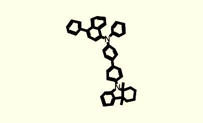 CC12CCCCC1(C)N(c1ccc(-c3ccc(N(c4ccccc4)c4ccc(-c5ccccc5)c5ccccc45)cc3)cc1)c1ccccc12